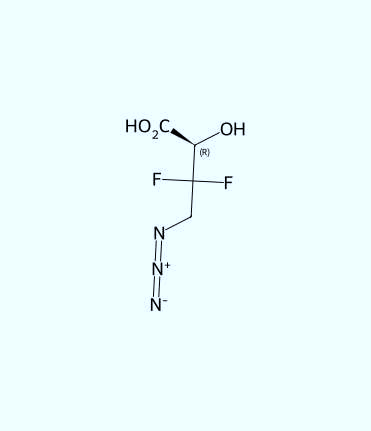 [N-]=[N+]=NCC(F)(F)[C@H](O)C(=O)O